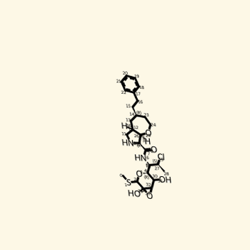 CSC1O[C@H]([C@H](NC(=O)[C@H]2NC[C@@H]3C[C@@H](CCc4ccccc4)CCO[C@H]32)[C@H](C)Cl)C(O)C2O[C@]12O